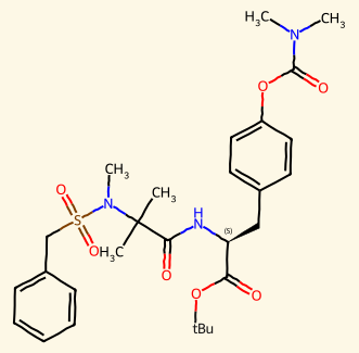 CN(C)C(=O)Oc1ccc(C[C@H](NC(=O)C(C)(C)N(C)S(=O)(=O)Cc2ccccc2)C(=O)OC(C)(C)C)cc1